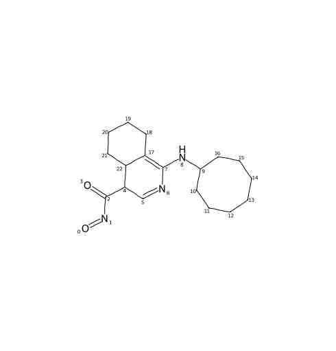 O=NC(=O)C1C=NC(NC2CCCCCCC2)=C2CCCCC21